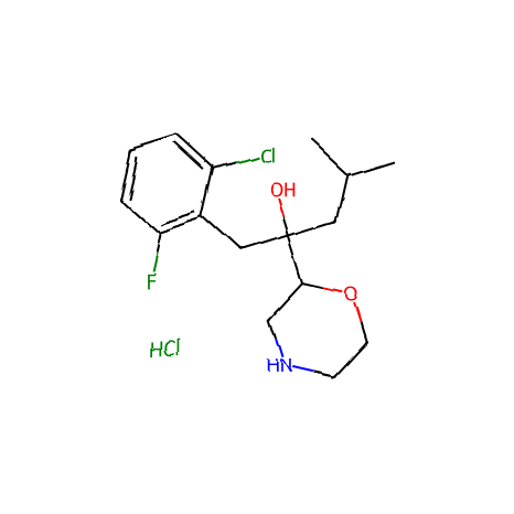 CC(C)CC(O)(Cc1c(F)cccc1Cl)C1CNCCO1.Cl